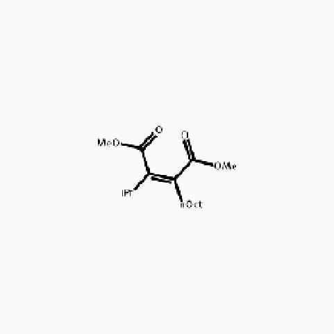 CCCCCCCC/C(C(=O)OC)=C(/C(=O)OC)C(C)C